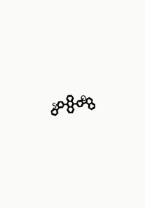 c1ccc2c(c1)ccc1oc3cc(-c4c5ccccc5c(-c5ccc6sc7ccccc7c6c5)c5ccccc45)ccc3c12